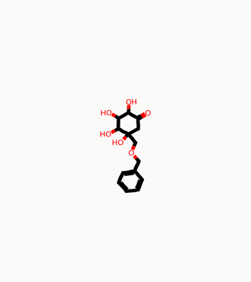 O=C1CC(O)(COCc2ccccc2)C(O)C(O)C1O